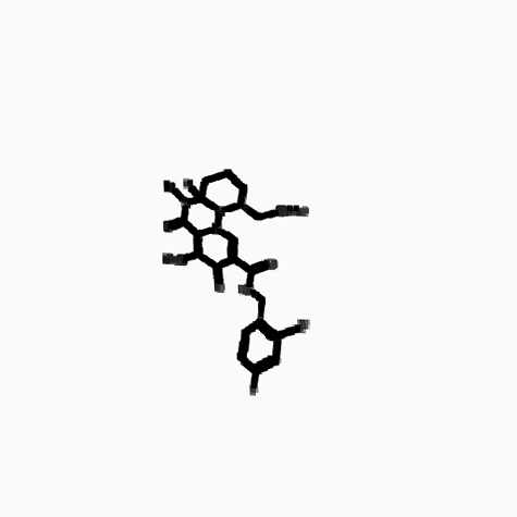 CCN1C(=O)c2c(OC)c(=O)c(C(=O)NCc3ccc(F)cc3F)cn2N2[C@H](COC)CCC[C@@H]12